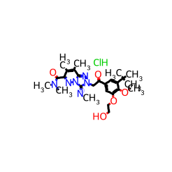 C/N=c1\n(CC(=O)c2cc(OCCO)c(OC)c(C(C)(C)C)c2)nc2c(C)c(C)c(C(=O)N(C)C)nn12.Cl